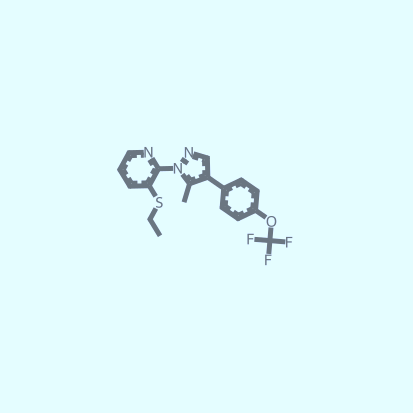 CCSc1cccnc1-n1ncc(-c2ccc(OC(F)(F)F)cc2)c1C